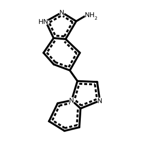 Nc1n[nH]c2ccc(-c3cnc4ccccn34)cc12